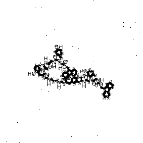 C=C(N)[C@H](Cc1ccc(O)c(Cc2cnc(NCCCNc3ncc(Cc4cc(C[C@H](NC(=O)CNC(=O)[C@H](Cc5ccc(O)cc5)NC(=O)OCC5c6ccccc6-c6ccccc65)C(N)=O)ccc4O)s3)s2)c1)NC(=O)CNC(=O)[C@H](Cc1ccc(O)cc1)NC(=O)OCC1c2ccccc2-c2ccccc21